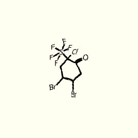 O=C1CC(Br)C(Br)CC1(Cl)S(F)(F)(F)(F)F